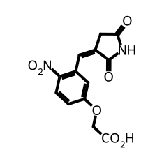 O=C(O)COc1ccc([N+](=O)[O-])c(C=C2CC(=O)NC2=O)c1